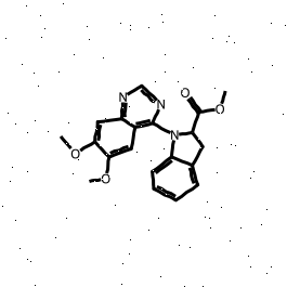 COC(=O)C1Cc2ccccc2N1c1ncnc2cc(OC)c(OC)cc12